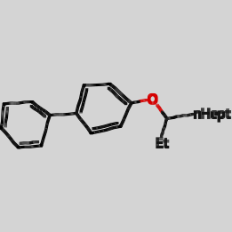 CCCCCCCC(CC)Oc1ccc(-c2ccccc2)cc1